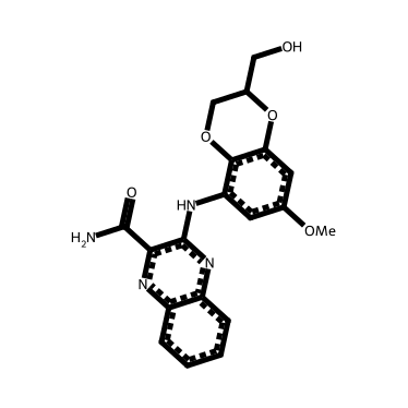 COc1cc(Nc2nc3ccccc3nc2C(N)=O)c2c(c1)OC(CO)CO2